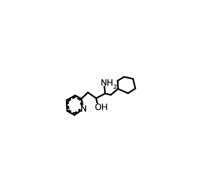 NC(CC1CCCCC1)C(O)Cc1ccccn1